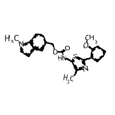 COc1ccccc1-c1nc(C)c(NC(=O)OCc2ccc3c(ccn3C)c2)s1